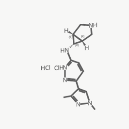 Cc1nn(C)cc1-c1ccc(N[C@@H]2[C@@H]3CNC[C@@H]32)nn1.Cl.Cl